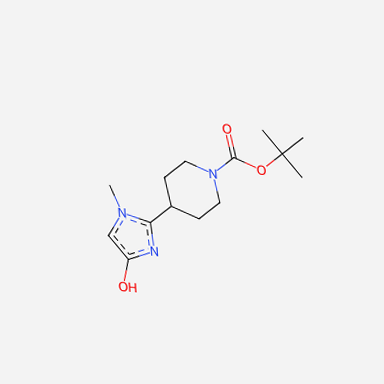 Cn1cc(O)nc1C1CCN(C(=O)OC(C)(C)C)CC1